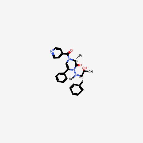 CC(=O)N([C@@H](Cc1ccccc1)C(O)C#N)N1C(=O)[C@@H](C(C)C)N(C(=O)c2ccncc2)C=C1c1ccccc1